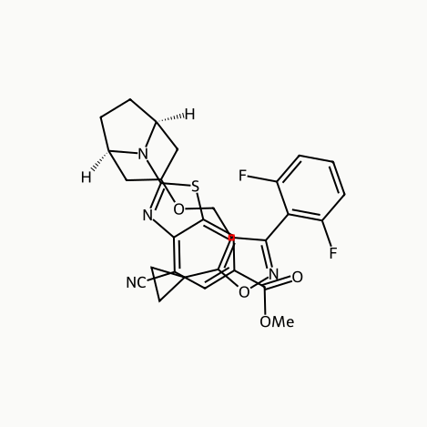 COC(=O)c1cc(C#N)c2nc(N3[C@@H]4CC[C@H]3CC(OCc3c(-c5c(F)cccc5F)noc3C3CC3)C4)sc2c1